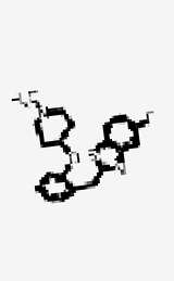 CN1CCC(Oc2ccccc2Cc2nc3cc(F)ccc3s2)CC1